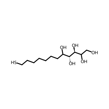 OCC(O)[C@H](O)[C@H](O)C(O)CCCCCCCS